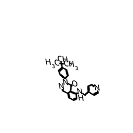 CC(C)(C)c1ccc(-n2ncc3cccc(NCc4ccncc4)c3c2=O)cc1